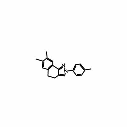 Cc1ccc(-n2cc3c(n2)-c2cc(C)c(C)cc2CC3)cc1